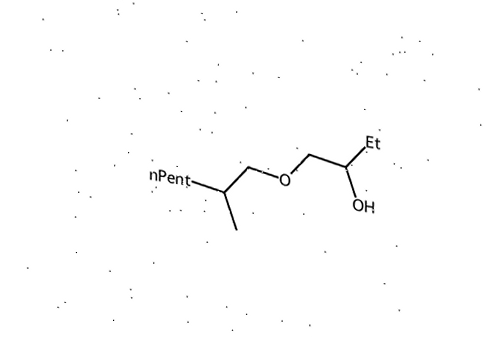 CCCCCC(C)COCC(O)CC